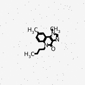 CCCCn1c(=O)c2ncn(C)c2c2cc(C)ccc21